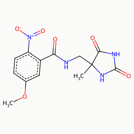 COc1ccc([N+](=O)[O-])c(C(=O)NCC2(C)NC(=O)NC2=O)c1